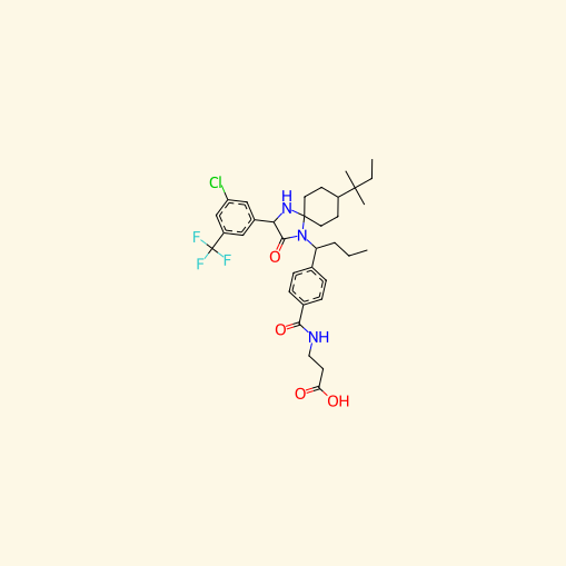 CCCC(c1ccc(C(=O)NCCC(=O)O)cc1)N1C(=O)C(c2cc(Cl)cc(C(F)(F)F)c2)NC12CCC(C(C)(C)CC)CC2